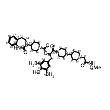 Bc1cc(C[C@@H](OC(=O)N2CCC(N3CCc4ccccc4NC3=O)CC2)C(=O)N2CCN(C3CCN(CC(=O)NOC)CC3)CC2)cc(B)c1O